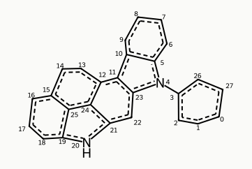 c1ccc(-n2c3ccccc3c3c4ccc5cccc6[nH]c(cc32)c4c56)cc1